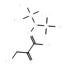 CCC(=O)C(C)=NN([Si](C)(C)C)[Si](C)(C)C